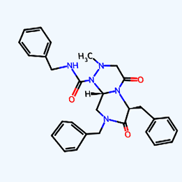 CN1CC(=O)N2[C@@H](Cc3ccccc3)C(=O)N(Cc3ccccc3)C[C@@H]2N1C(=O)NCc1ccccc1